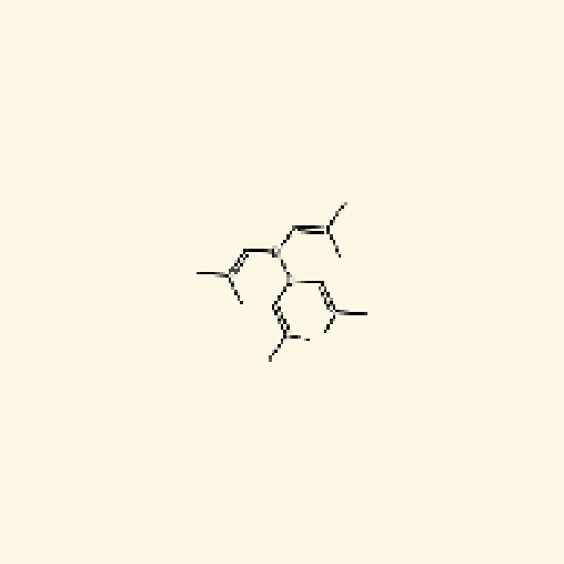 CC(C)=[CH][Bi]([CH]=C(C)C)[Bi]([CH]=C(C)C)[CH]=C(C)C